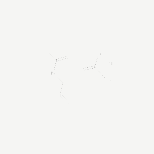 C=CCNC(O)=S.NC(O)=S.[Ni]